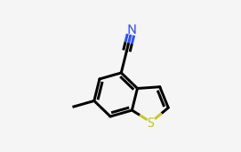 Cc1cc(C#N)c2ccsc2c1